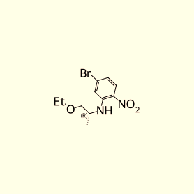 CCOC[C@@H](C)Nc1cc(Br)ccc1[N+](=O)[O-]